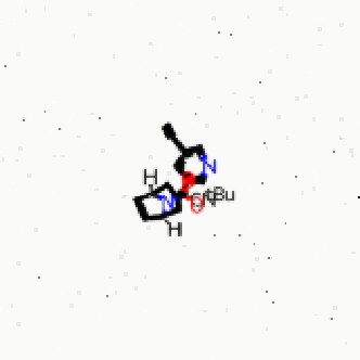 C#Cc1cncc([C@]2(C#N)C[C@H]3C=C[C@@H](C2)N3C(=O)OC(C)(C)C)c1